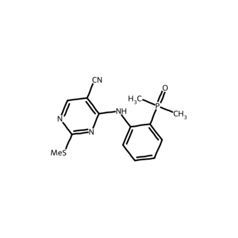 CSc1ncc(C#N)c(Nc2ccccc2P(C)(C)=O)n1